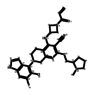 C=CC(=O)N1CC(Nc2c(C#N)c(OCC3CCCN3C)nc3c2CCN(c2c(Cl)c(F)cc4[nH]ncc24)C3)C1